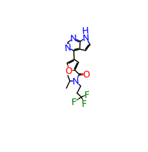 CC(C)N(CCC(F)(F)F)C(=O)c1cc(-c2ncnc3[nH]ccc23)co1